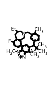 CCC1Cc2c(F)cccc2CN(Cc2cc(C(c3ccc4c(nnn4C)c3C)C(C)(C)C(C)=O)ccc2C)C1